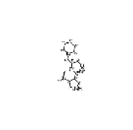 CN(C)C1CNCC1C1=NOCC(CN2CCCCC2)O1